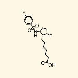 O=C(O)CCCCCC[C@H]1[C@H](F)CC[C@@H]1NS(=O)(=O)c1ccc(F)cc1